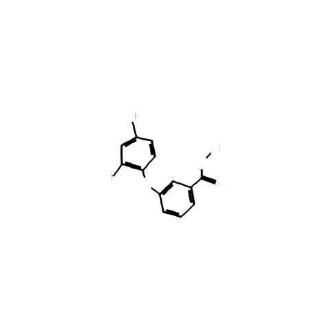 O=C(OCl)c1cccc(Oc2ccc(C(F)(F)F)cc2Cl)c1